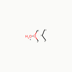 CCC.COC.O